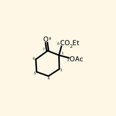 CCOC(=O)C1(OC(C)=O)CCCCC1=O